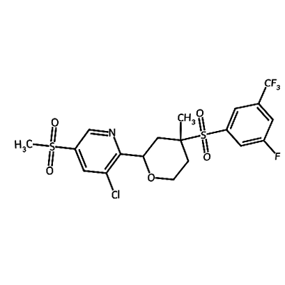 CC1(S(=O)(=O)c2cc(F)cc(C(F)(F)F)c2)CCOC(c2ncc(S(C)(=O)=O)cc2Cl)C1